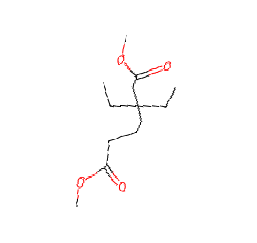 CCC(CC)(CCC(=O)OC)C(=O)OC